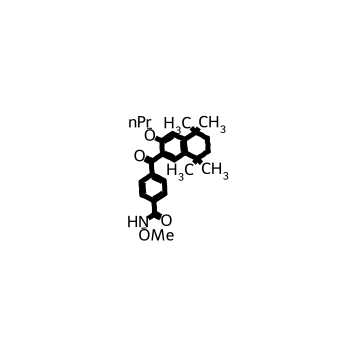 CCCOc1cc2c(cc1C(=O)c1ccc(C(=O)NOC)cc1)C(C)(C)CCC2(C)C